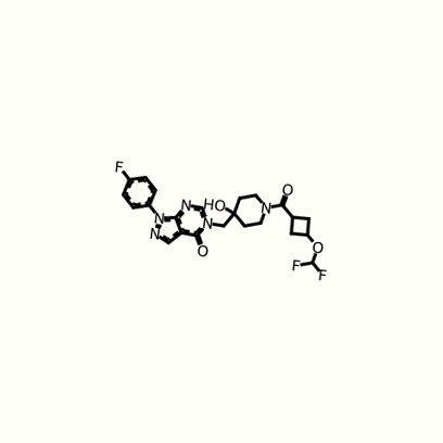 O=C(C1CC(OC(F)F)C1)N1CCC(O)(Cn2cnc3c(cnn3-c3ccc(F)cc3)c2=O)CC1